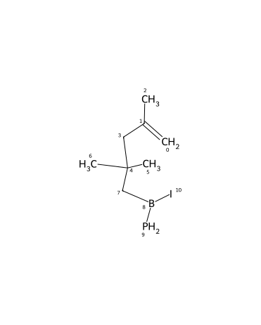 C=C(C)CC(C)(C)CB(P)I